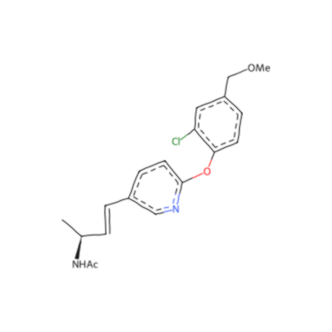 COCc1ccc(Oc2ccc(/C=C/[C@H](C)NC(C)=O)cn2)c(Cl)c1